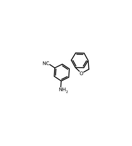 N#Cc1cccc(N)c1.c1cc2cc(c1)OC2